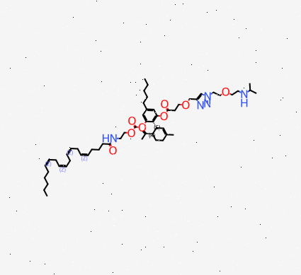 C=C(C)[C@@H]1CCC(C)=C[C@H]1c1c(OC(=O)CCOCc2cn(CCOCCNC(C)C)nn2)cc(CCCCC)cc1OC(=O)OCCNC(=O)CCC/C=C\C/C=C\C/C=C\C/C=C\CCCCC